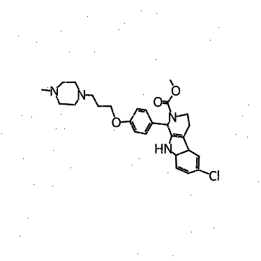 COC(=O)N1CCC2=C(NC3C=CC(Cl)=CC23)C1c1ccc(OCCCN2CCN(C)CC2)cc1